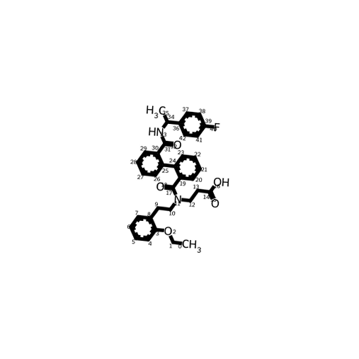 CCOc1ccccc1CCN(CCC(=O)O)C(=O)c1ccccc1-c1ccccc1C(=O)NC(C)c1ccc(F)cc1